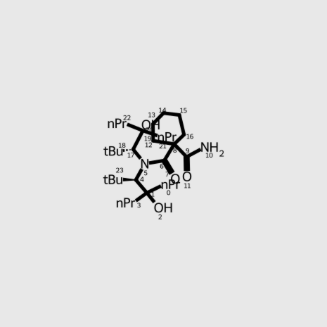 CCCC(O)(CCC)[C@H](N(C(=O)C1(C(N)=O)CCCCC1)[C@H](C(C)(C)C)C(O)(CCC)CCC)C(C)(C)C